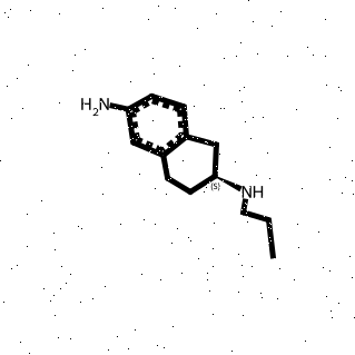 CCCN[C@H]1CCc2cc(N)ccc2C1